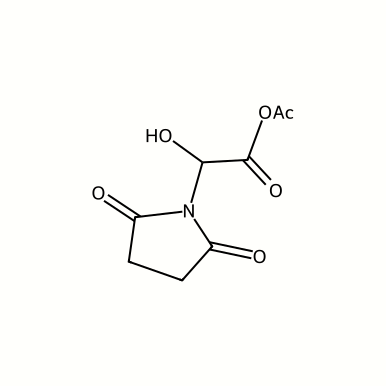 CC(=O)OC(=O)C(O)N1C(=O)CCC1=O